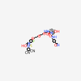 CC(C)(C)[C@H](NC(=O)COCCCOCCCCOc1ccc(N2C(=S)N(c3ccc(C#N)c(C#N)c3)C(O)C2(C)C)cc1F)C(=O)N1C[C@H](O)C[C@H]1C(=O)NCc1ccc(-c2cnco2)cc1